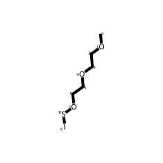 COCCOCCOSI